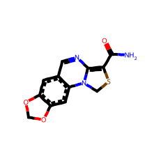 NC(=O)C1=C2N=Cc3cc4c(cc3N2CS1)OCO4